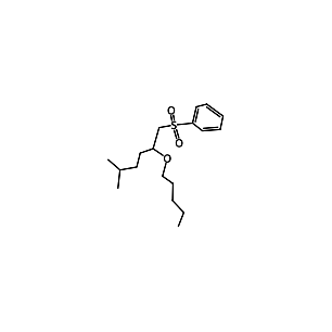 CCCCCOC(CCC(C)C)CS(=O)(=O)c1ccccc1